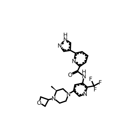 C[C@H]1CN(c2cnc(C(F)(F)F)c(NC(=O)c3cccc(-c4cn[nH]c4)n3)c2)CCN1C1COC1